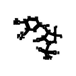 CCCS(=O)(=O)N1CC(C)(C)C(Oc2ccc(C#N)c(C(F)(F)F)c2)C1=O